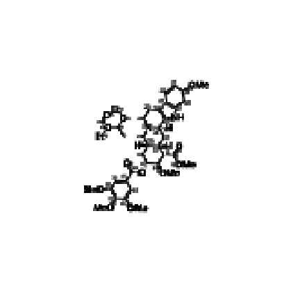 C=O.CCOC(C)OCC.COC(=O)[C@H]1[C@H]2C[C@@H]3c4[nH]c5cc(OC)ccc5c4CCN3C[C@H]2C[C@@H](OC(=O)c2cc(OC)c(OC)c(OC)c2)[C@@H]1OC